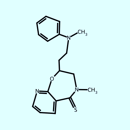 CN1CC(CCN(C)c2ccccc2)Oc2ncccc2C1=S